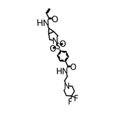 C=CC(=O)NC1C2CN(S(=O)(=O)c3ccc(C(=O)NCCN4CCC(F)(F)CC4)cc3)CC21